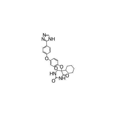 O=C1NC(=O)C(Oc2ccc(Oc3ccc(-c4nnc[nH]4)cc3)cc2)(C2CCCCC2)C(=O)N1